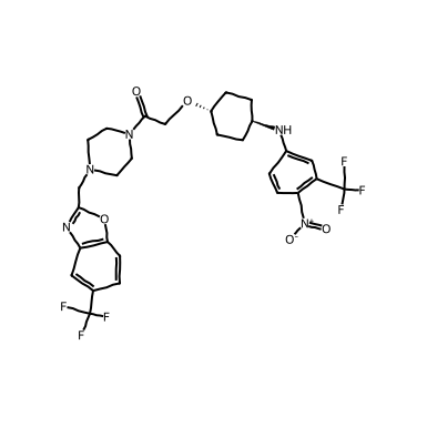 O=C(CO[C@H]1CC[C@H](Nc2ccc([N+](=O)[O-])c(C(F)(F)F)c2)CC1)N1CCN(Cc2nc3cc(C(F)(F)F)ccc3o2)CC1